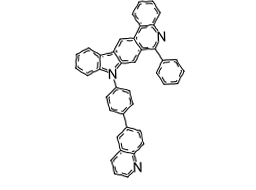 c1ccc(-c2nc3ccccc3c3cc4c5ccccc5n(-c5ccc(-c6ccc7ncccc7c6)cc5)c4cc23)cc1